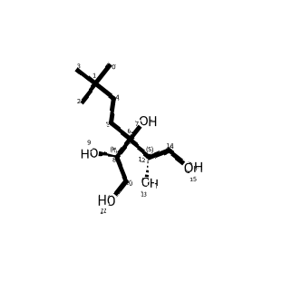 CC(C)(C)CCC(O)([C@H](O)CO)[C@@H](O)CO